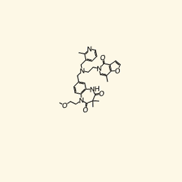 COCCN1C(=O)C(C)(C)C(=O)Nc2cc(CN(CCn3cc(C)c4occc4c3=O)Cc3cccnc3C)ccc21